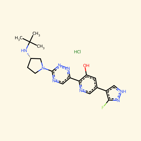 CC(C)(C)N[C@H]1CCN(c2ncc(-c3ncc(-c4c[nH]nc4F)cc3O)nn2)C1.Cl